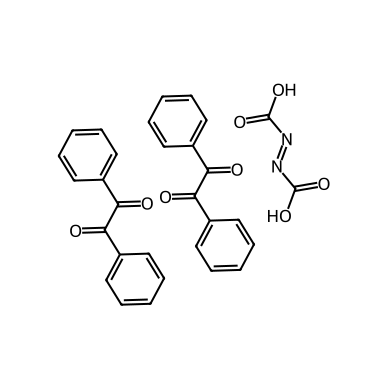 O=C(C(=O)c1ccccc1)c1ccccc1.O=C(C(=O)c1ccccc1)c1ccccc1.O=C(O)N=NC(=O)O